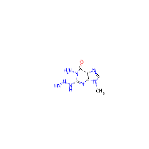 Cn1cnc2c(=O)n(N)c(NN=N)nc21